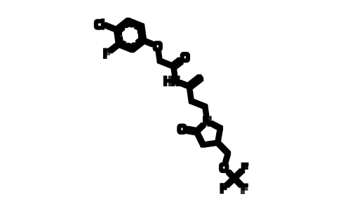 C=C(CCN1CC(COC(F)(F)F)CC1=O)NC(=O)COc1ccc(Cl)c(F)c1